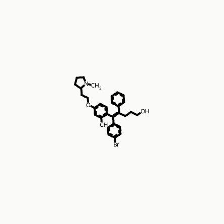 Cc1cc(OCCC2CCCN2C)ccc1/C(=C(/CCCO)c1ccccc1)c1ccc(Br)cc1